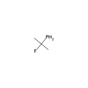 CC(C)(F)P